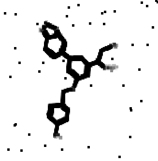 CCOC(=O)C(CC(C)C)c1cc(OCc2ccc(C(F)(F)F)cc2)cc(-c2ccc3nsnc3c2)c1